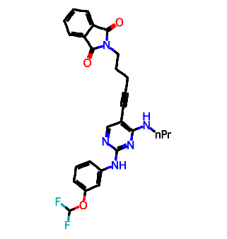 CCCNc1nc(Nc2cccc(OC(F)F)c2)ncc1C#CCCCN1C(=O)c2ccccc2C1=O